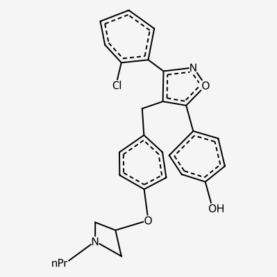 CCCN1CC(Oc2ccc(Cc3c(-c4ccccc4Cl)noc3-c3ccc(O)cc3)cc2)C1